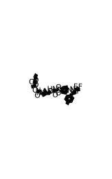 CCOC(=O)OC(C)ON=[N+]([O-])N1CC(COC(=O)NS(=O)(=O)c2ccc(-n3nc(C(F)(F)F)cc3-c3ccc(C)cc3)cc2)C1